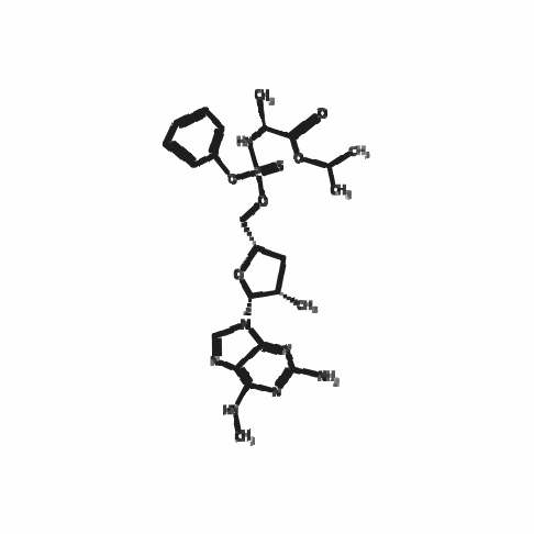 CNc1nc(N)nc2c1ncn2[C@@H]1O[C@H](COP(=S)(N[C@@H](C)C(=O)OC(C)C)Oc2ccccc2)C[C@@H]1C